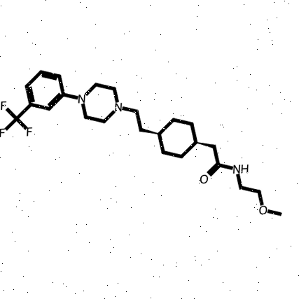 COCCNC(=O)C[C@H]1CC[C@@H](CCN2CCN(c3cccc(C(F)(F)F)c3)CC2)CC1